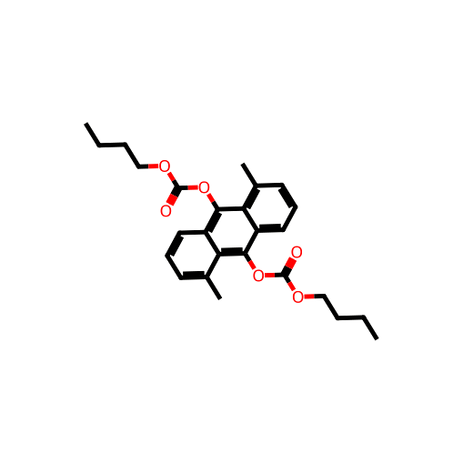 CCCCOC(=O)Oc1c2cccc(C)c2c(OC(=O)OCCCC)c2cccc(C)c12